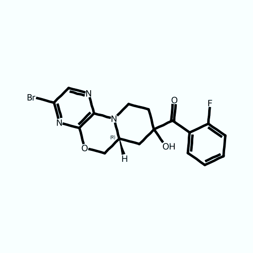 O=C(c1ccccc1F)C1(O)CCN2c3ncc(Br)nc3OC[C@H]2C1